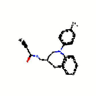 C#CC(=O)NCC1Cc2ccccc2N(c2ccc(C(F)(F)F)cc2)C1